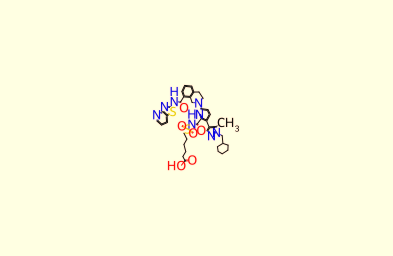 Cc1c(-c2ccc(N3CCc4cccc(C(=O)Nc5nc6ncccc6s5)c4C3)nc2C(=O)NS(=O)(=O)CCCCCC(=O)O)cnn1CC1CCCCC1